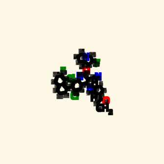 C=CC(=O)C1CC[C@@H]2[C@H]1CN2c1c(C#N)c(OC[C@@]23CCCN2C[C@H](F)C3)nc2cc(-c3cccc4ccc(F)c(Cl)c34)c(Cl)cc12